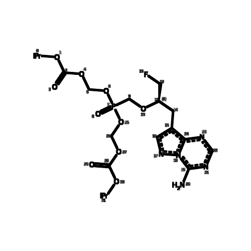 CC(C)OC(=O)OCOP(=O)(CO[C@@H](CF)Cc1cnn2c(N)ncnc12)OCOC(=O)OC(C)C